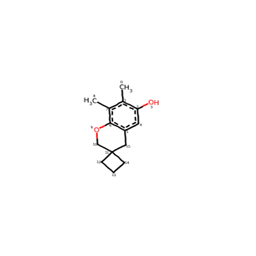 Cc1c(O)cc2c(c1C)OCC1(CCC1)C2